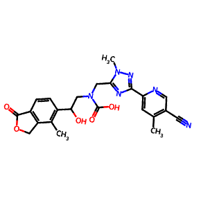 Cc1cc(-c2nc(CN(CC(O)c3ccc4c(c3C)COC4=O)C(=O)O)n(C)n2)ncc1C#N